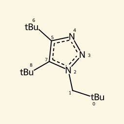 CC(C)(C)Cn1nnc(C(C)(C)C)c1C(C)(C)C